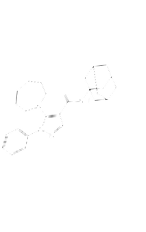 O=C(NC12CC3CC(CC(C3)C1)C2)c1cnn(-c2ccccc2)c1N1CCCCCC1